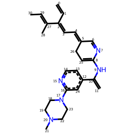 C=CC(=C\C=C1\C=NC(NC(=C)c2ccnc(N3CCN(C)CC3)c2)=CC1)/C(C)=C/C